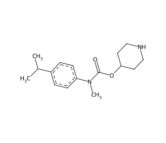 CC(C)c1ccc(N(C)C(=O)OC2CCNCC2)cc1